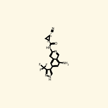 N#C[C@H]1C[C@@H]1C(=O)Nc1cc2cc(-c3c[nH]nc3C(F)(F)F)cc(N)c2cn1